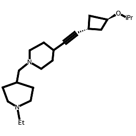 CCN1CCC(CN2CCC(C#C[C@H]3C[C@H](OC(C)C)C3)CC2)CC1